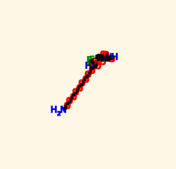 NCCOCCOCCOCCOCCOCCOCCOCCOCCOCCNC(=O)C(OC(=O)C(F)(F)F)Oc1cccc2c1C(=O)N(C1CCC(=O)NC1=O)C2=O